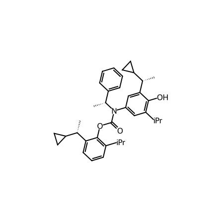 CC(C)c1cc(N(C(=O)Oc2c(C(C)C)cccc2[C@@H](C)C2CC2)[C@H](C)c2ccccc2)cc([C@@H](C)C2CC2)c1O